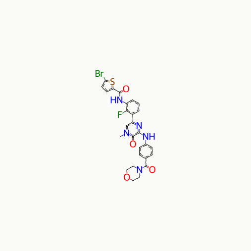 Cn1cc(-c2cccc(NC(=O)c3ccc(Br)s3)c2F)nc(Nc2ccc(C(=O)N3CCOCC3)cc2)c1=O